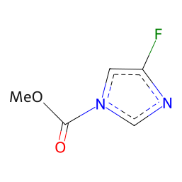 COC(=O)n1cnc(F)c1